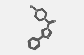 CCN1CCN(C(=O)n2cnc(-c3ccccc3)c2)CC1